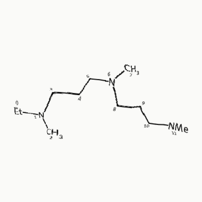 CCN(C)CCCN(C)CCCNC